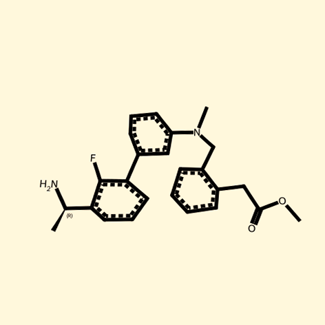 COC(=O)Cc1ccccc1CN(C)c1cccc(-c2cccc([C@@H](C)N)c2F)c1